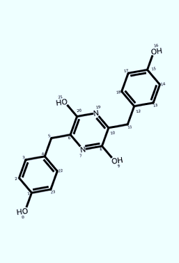 Oc1ccc(Cc2nc(O)c(Cc3ccc(O)cc3)nc2O)cc1